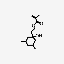 C=C(C)C(=O)OCCC1(O)CC(C)CC(C)C1